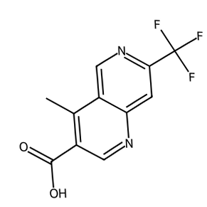 Cc1c(C(=O)O)cnc2cc(C(F)(F)F)ncc12